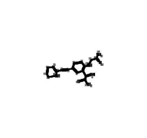 N=C(C(N)=O)c1cc(C#CC2=NC=CCN2)ccc1NCC(N)=O